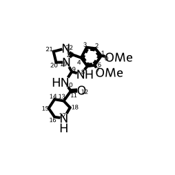 COc1ccc2c(c1OC)NC(NC(=O)C1CCCNC1)N1CCN=C21